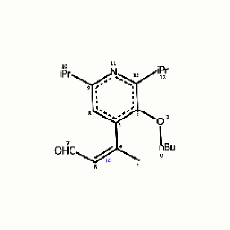 CCCCOc1c(/C(C)=C\C=O)cc(C(C)C)nc1C(C)C